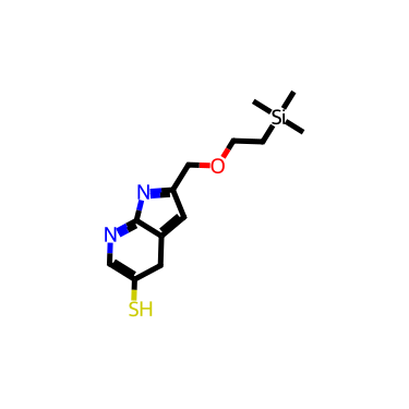 C[Si](C)(C)CCOCC1=NC2=NC=C(S)CC2=C1